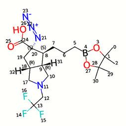 CC1(C)OB(CCC[C@H]2[C@@H]3CN(CC(F)(F)F)C[C@@H]3C[C@@]2(N=[N+]=[N-])C(=O)O)OC1(C)C